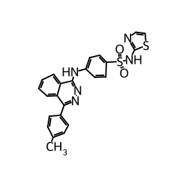 Cc1ccc(-c2nnc(Nc3ccc(S(=O)(=O)Nc4nccs4)cc3)c3ccccc23)cc1